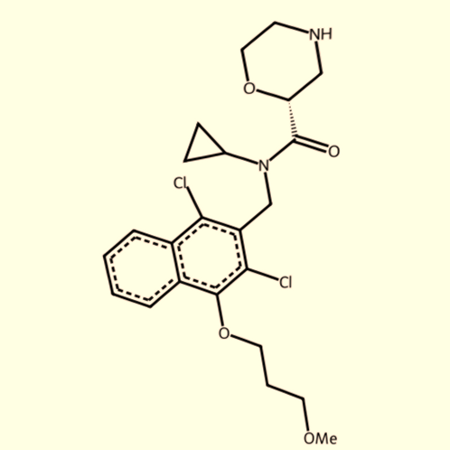 COCCCOc1c(Cl)c(CN(C(=O)[C@H]2CNCCO2)C2CC2)c(Cl)c2ccccc12